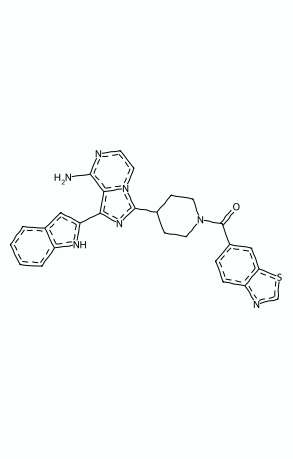 Nc1nccn2c(C3CCN(C(=O)c4ccc5ncsc5c4)CC3)nc(-c3cc4ccccc4[nH]3)c12